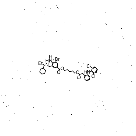 CCC(NCc1cc(C(=O)OCCCCCOC(=O)Cc2ccccc2Nc2c(Cl)cccc2Cl)cc(Br)c1N)C1CCCCC1